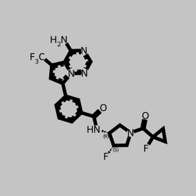 Nc1ncnn2c(-c3cccc(C(=O)N[C@@H]4CN(C(=O)C5(F)CC5)C[C@@H]4F)c3)cc(C(F)(F)F)c12